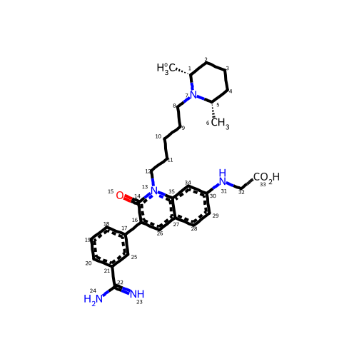 C[C@@H]1CCC[C@H](C)N1CCCCCn1c(=O)c(-c2cccc(C(=N)N)c2)cc2ccc(NCC(=O)O)cc21